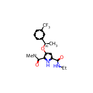 CCNC(=O)c1cc(O[C@H](C)c2cccc(C(F)(F)F)c2)c(C(=O)NC)[nH]1